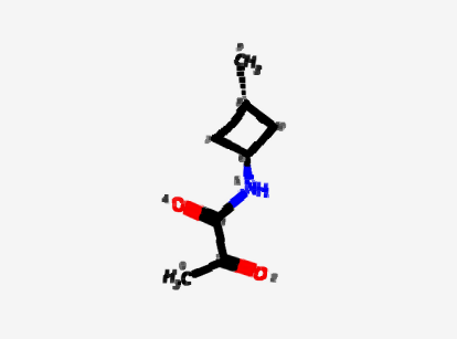 CC(=O)C(=O)N[C@H]1C[C@H](C)C1